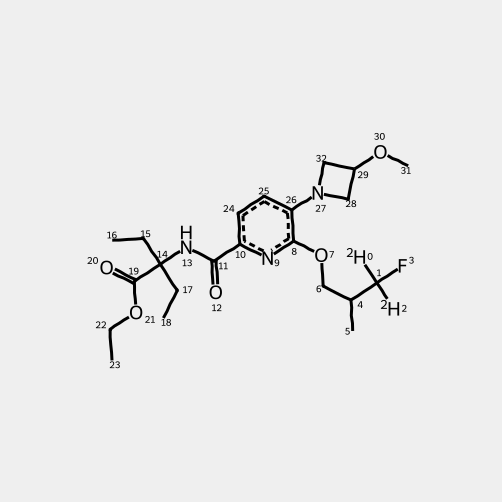 [2H]C([2H])(F)C(C)COc1nc(C(=O)NC(CC)(CC)C(=O)OCC)ccc1N1CC(OC)C1